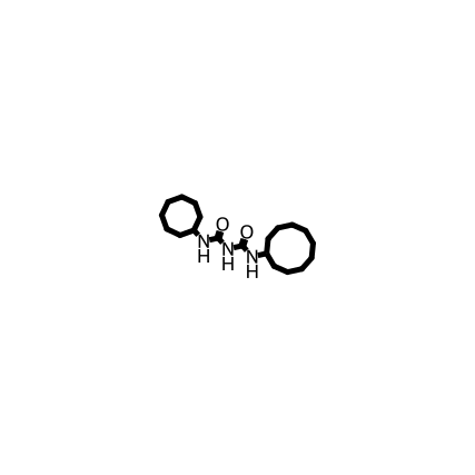 O=C(NC(=O)NC1CCCCCCC1)NC1CCCCCCCCC1